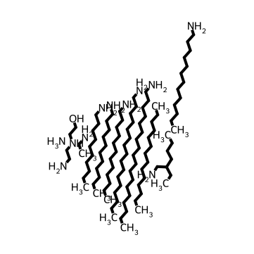 CCCCC(CC)CN.CCCCCCCCCCCCCC.CCCCCCCCCCCCCCCCCCN.CCCCCCCCCCCCCCCCN.CCCCCCCCCCCCCN.CCCCCCCCCCCCN.CCCCCCCCCCCN.CCCCCCCCCCN.CCN.N.NCCNCCO